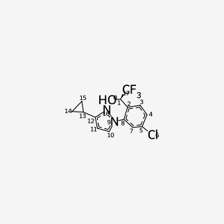 O[C@H](c1ccc(Cl)cc1-n1ccc(C2CC2)n1)C(F)(F)F